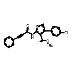 CC(C)(C)OC(=O)c1c(-c2ccc(Cl)cc2)csc1NC(=O)C#Cc1ccccc1